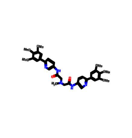 COc1cc(-c2ccc(NC(=O)CN(C)CC(=O)Nc3ccc(-c4cc(OC)c(OC)c(OC)c4)nc3)cn2)cc(OC)c1OC